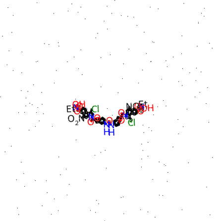 CCN(O)S(=O)(=O)c1ccc2c3c(cc([N+](=O)[O-])c2c1)N(C(=O)c1cc2cc(NC(=O)Nc4ccc5oc(C(=O)N6CC(CCl)c7c6cc([N+](=O)[O-])c6cc(S(=O)(=O)N(O)CC)ccc76)cc5c4)ccc2o1)CC3CCl